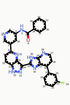 O=C(Nc1cncc(-c2ccc3[nH]nc(-c4nc5c(-c6cccc(F)c6)ccnc5[nH]4)c3n2)c1)c1ccccc1